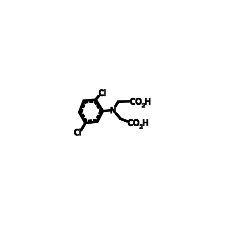 O=C(O)CN(CC(=O)O)c1cc(Cl)ccc1Cl